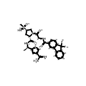 C[C@@H](NC(=O)[C@@H]1C[C@@H](S(C)(=N)=O)CN1C(=O)CNC(=O)c1ccc2c(c1)-c1ccccc1C2(F)F)c1cc(C(=N)N)cs1